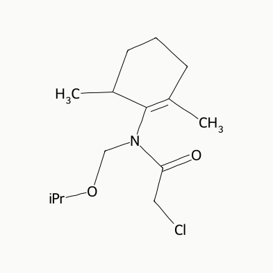 CC1=C(N(COC(C)C)C(=O)CCl)C(C)CCC1